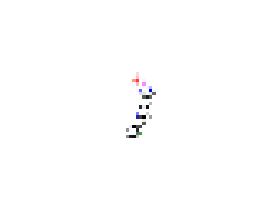 Cc1c(Cc2ccc(Cl)cc2F)cncc1Cc1ccnc(NC(=O)OC(C)(C)C)c1F